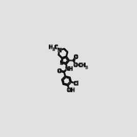 COC(=O)c1c(NC(=O)c2ccc(O)c(Cl)c2)sc2c1CCN(C)C2